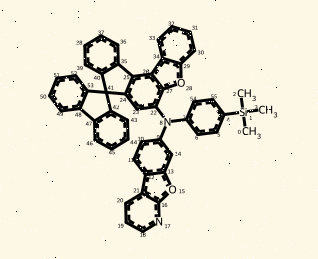 C[Si](C)(C)c1ccc(N(c2ccc3c(c2)oc2ncccc23)c2cc3c(c4c2oc2ccccc24)-c2ccccc2C32c3ccccc3-c3ccccc32)cc1